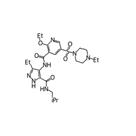 CCOc1ncc(S(=O)(=O)N2CCN(CC)CC2)cc1C(=O)Nc1c(CC)n[nH]c1C(=O)NCC(C)C